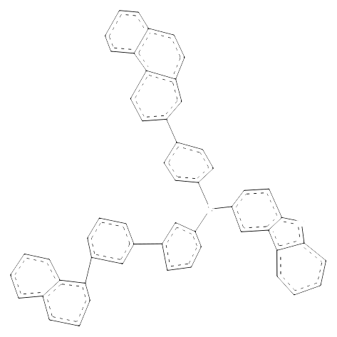 c1cc(-c2cccc(N(c3ccc(-c4ccc5c(ccc6ccccc65)c4)cc3)c3ccc4oc5ccccc5c4c3)c2)cc(-c2cccc3ccccc23)c1